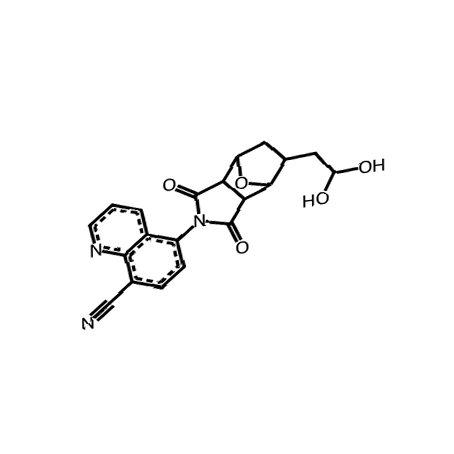 N#Cc1ccc(N2C(=O)C3C4CC(CC(O)O)C(O4)C3C2=O)c2cccnc12